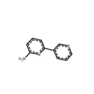 Nc1cccc(-c2cccnc2)n1